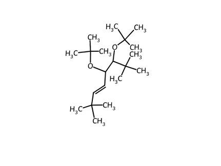 CC(C)(C)/C=C/C(OC(C)(C)C)C(OC(C)(C)C)C(C)(C)C